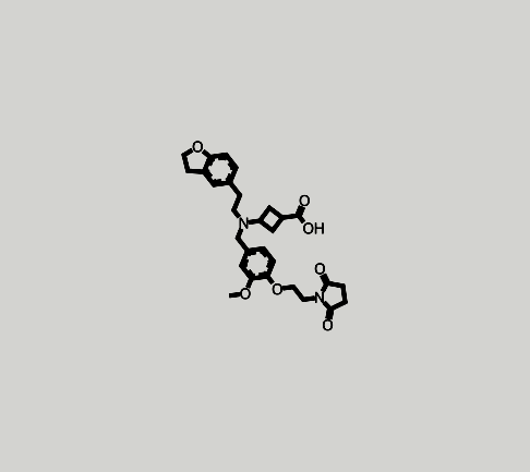 COc1cc(CN(CCc2ccc3c(c2)CCO3)C2CC(C(=O)O)C2)ccc1OCCN1C(=O)CCC1=O